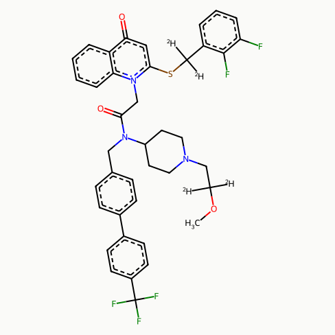 [2H]C([2H])(CN1CCC(N(Cc2ccc(-c3ccc(C(F)(F)F)cc3)cc2)C(=O)Cn2c(SC([2H])([2H])c3cccc(F)c3F)cc(=O)c3ccccc32)CC1)OC